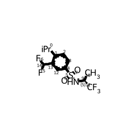 CC(C)c1ccc(S(=O)(=O)N[C@@H](C)C(F)(F)F)cc1C(F)F